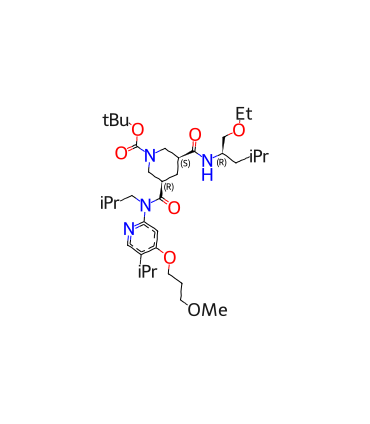 CCOC[C@@H](CC(C)C)NC(=O)[C@H]1C[C@@H](C(=O)N(CC(C)C)c2cc(OCCCOC)c(C(C)C)cn2)CN(C(=O)OC(C)(C)C)C1